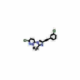 Cc1nc(C#Cc2cccc(Cl)c2)cn1-c1ccc(Cl)nn1